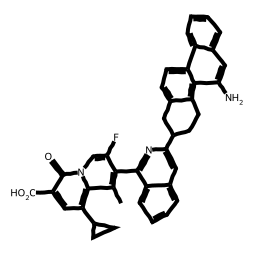 Cc1c(-c2nc(C3CCc4c(ccc5c4c(N)cc4ccccc45)C3)cc3ccccc23)c(F)cn2c(=O)c(C(=O)O)cc(C3CC3)c12